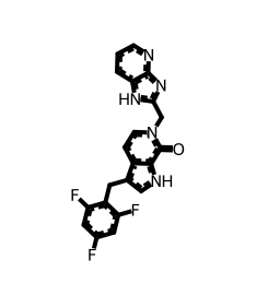 O=c1c2[nH]cc(Cc3c(F)cc(F)cc3F)c2ccn1Cc1nc2ncccc2[nH]1